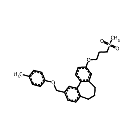 Cc1ccc(OCc2ccc3c(c2)-c2ccc(OCCCS(C)(=O)=O)cc2CCC3)cc1